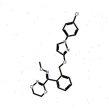 CO/N=C(\C1=NOCCO1)c1ccccc1COc1ccn(-c2ccc(Cl)cc2)n1